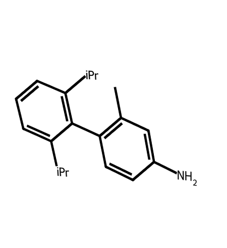 Cc1cc(N)ccc1-c1c(C(C)C)cccc1C(C)C